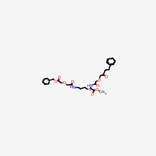 COC(=O)[C@H](CCCCNC(=O)COCC(=O)OCc1ccccc1)NC(=O)COCC(=O)CCc1ccccc1